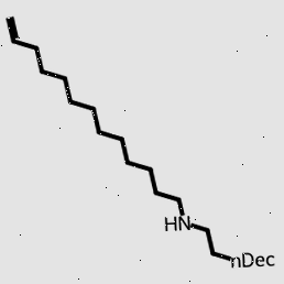 C=CCCCCCCCCCCCNCCCCCCCCCCCC